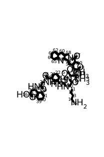 CC[C@@]1(OC(=O)[C@@H](NC(=O)[C@H](CCCCN)NC(=S)Nc2cccc(C(=O)NCC(=O)NC(CC(=O)O)c3ccccc3)c2)C(C)C)C(=O)OCc2c1cc1n(c2=O)Cc2cc3ccccc3nc2-1